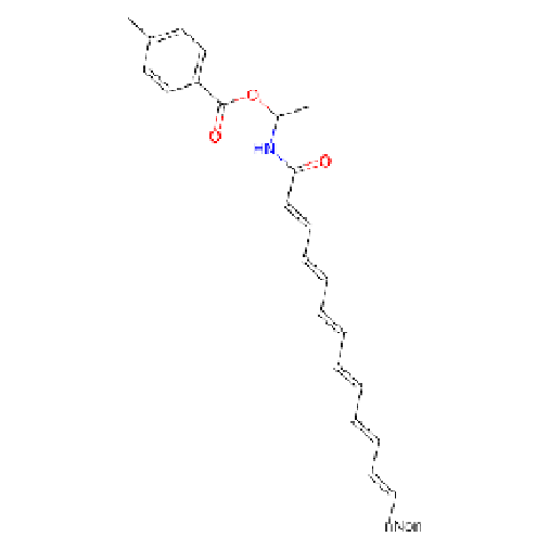 CCCCCCCCCC=CC=CC=CC=CC=CC=CC(=O)NC(C)OC(=O)c1ccc(C)cc1